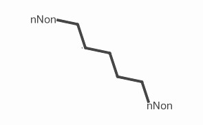 CCCCCCCCCC[CH]CCCCCCCCCCCC